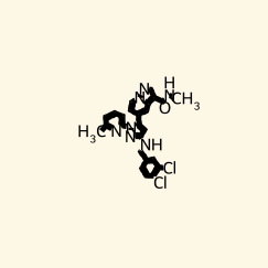 CNC(=O)c1cnn2ccc(-c3cc(NCc4ccc(Cl)c(Cl)c4)nn3-c3cccc(C)n3)cc12